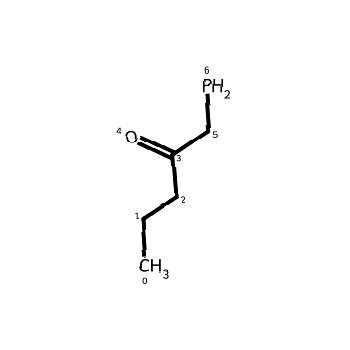 CCCC(=O)CP